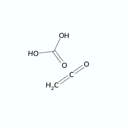 C=C=O.O=C(O)O